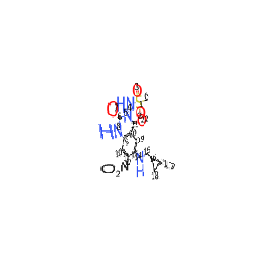 CS(=O)(=O)Nn1c(=O)[nH]c2cc([N+](=O)[O-])c(NCC3CC3)cc2c1=O